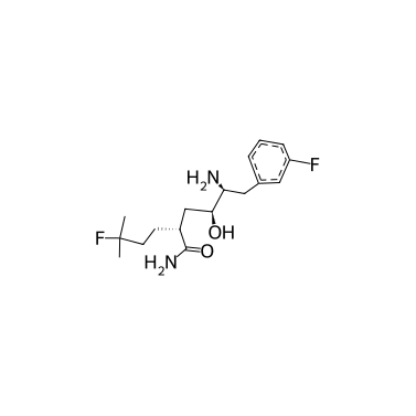 CC(C)(F)CC[C@H](C[C@H](O)[C@@H](N)Cc1cccc(F)c1)C(N)=O